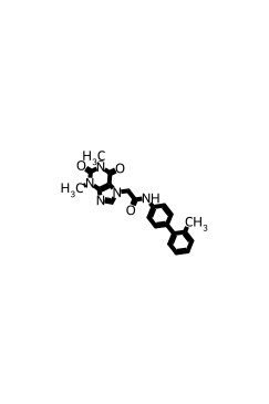 Cc1ccccc1-c1ccc(NC(=O)Cn2cnc3c2c(=O)n(C)c(=O)n3C)cc1